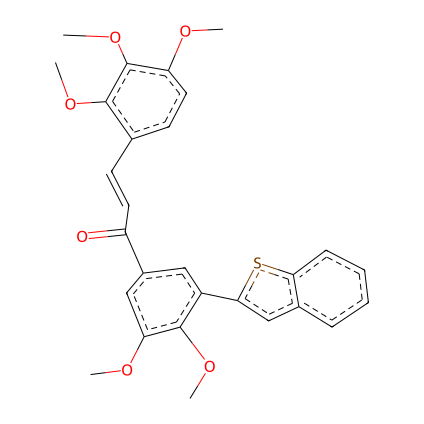 COc1cc(C(=O)C=Cc2ccc(OC)c(OC)c2OC)cc(-c2cc3ccccc3s2)c1OC